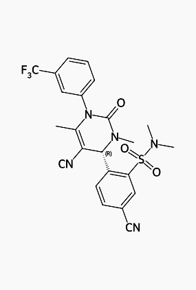 [C-]#[N+]C1=C(C)N(c2cccc(C(F)(F)F)c2)C(=O)N(C)[C@@H]1c1ccc(C#N)cc1S(=O)(=O)N(C)C